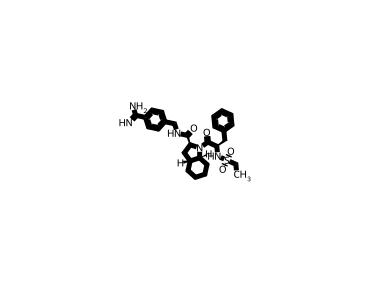 CCS(=O)(=O)N[C@H](Cc1ccccc1)C(=O)N1[C@H](C(=O)NCc2ccc(C(=N)N)cc2)C[C@H]2CCCC[C@@H]21